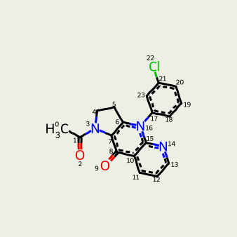 CC(=O)N1CCc2c1c(=O)c1cccnc1n2-c1cccc(Cl)c1